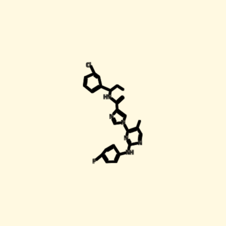 C=C(NC(CC)c1cccc(Cl)c1)c1cn(-c2nc(Nc3ccc(F)cc3)ncc2C)cn1